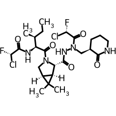 CC[C@H](C)[C@H](NC(=O)[C@@H](F)Cl)C(=O)N1C[C@H]2[C@@H]([C@H]1C(=O)NN(C[C@H]1CCCNC1=O)C(=O)[C@@H](F)Cl)C2(C)C